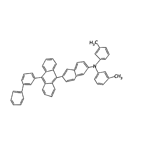 Cc1cccc(N(c2cccc(C)c2)c2ccc3cc(-c4c5ccccc5c(-c5cccc(-c6ccccc6)c5)c5ccccc45)ccc3c2)c1